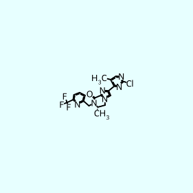 Cc1cnc(Cl)nc1-c1cn2c(n1)C(=O)N(Cc1cccc(C(F)(F)F)n1)[C@@H](C)C2